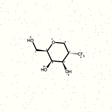 OC[C@H]1OC[C@H](C(F)(F)F)[C@@H](O)[C@H]1O